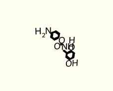 Nc1ccc(OC(=O)NCc2cc(O)ccc2O)cc1